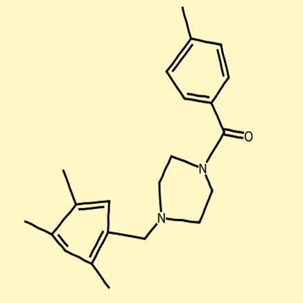 Cc1ccc(C(=O)N2CCN(Cc3cc(C)c(C)cc3C)CC2)cc1